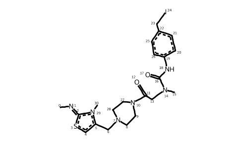 C/N=c1\scc(CN2CCN(C(=O)CN(C)C(=O)Nc3ccc(CI)cc3)CC2)n1C